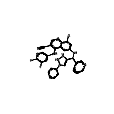 N#Cc1cnc2c(Cl)cc(NC(C3=CN(c4ccccc4)NN3)c3cccnc3)cc2c1Nc1cnc(F)c(F)c1